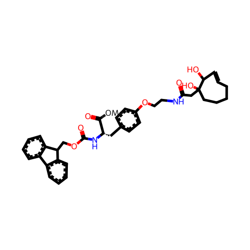 COC(=O)[C@H](Cc1ccc(OCCNC(=O)CC2(O)CCCC/C=C/C2O)cc1)NC(=O)OCC1c2ccccc2-c2ccccc21